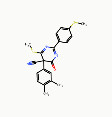 CSC1=NC(c2ccc(SC)cc2)=NC(=O)C1(C#N)c1ccc(C)c(C)c1